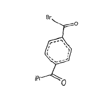 CC(C)C(=O)c1ccc(C(=O)Br)cc1